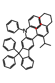 CC(C)c1cc2c(cc1-c1cc3c(cc1N(c1ccccc1)c1ccccc1)C(c1ccccc1)(c1ccccc1)c1ccccc1-3)CCCC2